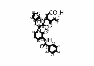 O=C(O)CC(NC(=O)[C@H](Cc1ccsc1)n1cccc(NC(=O)c2ccccc2)c1=O)C(=O)CF